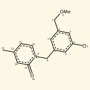 COCc1cc(Cl)cc(Cn2ccc(C)cc2=O)c1